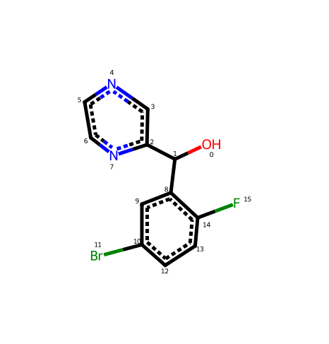 OC(c1cnccn1)c1cc(Br)ccc1F